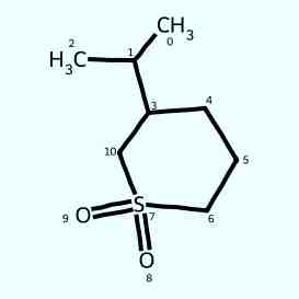 CC(C)C1CCCS(=O)(=O)C1